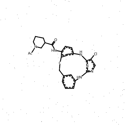 CC(=O)N1CCCC(C(=O)Nc2ccc3cc2CCc2cccc(c2)Nc2ncc(Cl)c(n2)N3)C1